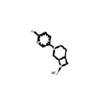 O=C(O)N1CC2CCN(c3ccc(Cl)nc3)CC21